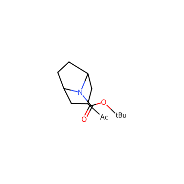 CC(=O)C1CC2CCC(C1)N2C(=O)OC(C)(C)C